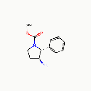 CC(C)(C)OC(=O)N1CC[C@H](N)[C@H]1c1ccccc1